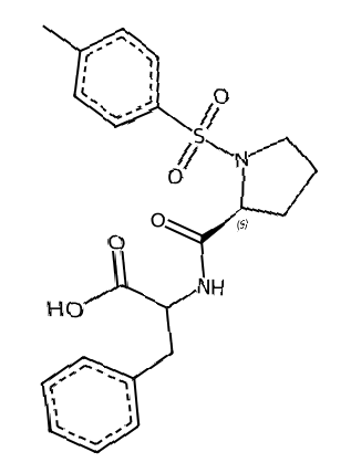 Cc1ccc(S(=O)(=O)N2CCC[C@H]2C(=O)NC(Cc2ccccc2)C(=O)O)cc1